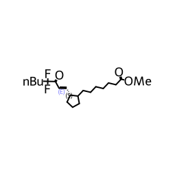 CCCCC(F)(F)C(=O)/C=C/[C@H]1CCCC1CCCCCCC(=O)OC